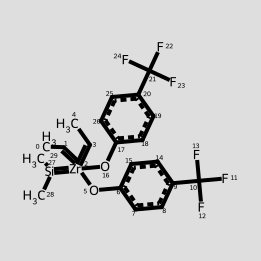 C[CH]=[Zr](=[CH]C)([O]c1ccc(C(F)(F)F)cc1)([O]c1ccc(C(F)(F)F)cc1)=[Si](C)C